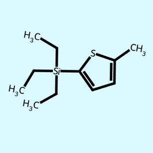 CC[Si](CC)(CC)c1ccc(C)s1